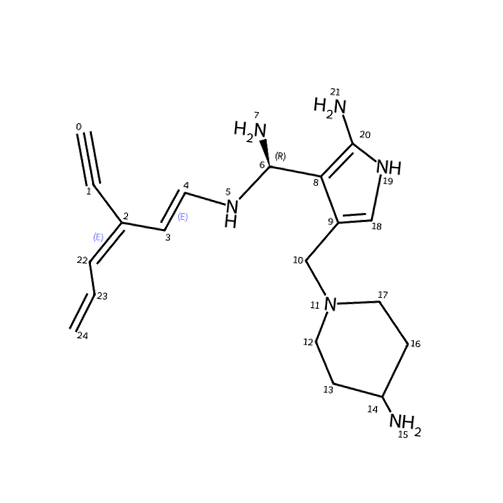 C#CC(/C=C/N[C@@H](N)c1c(CN2CCC(N)CC2)c[nH]c1N)=C/C=C